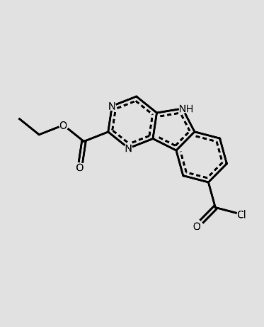 CCOC(=O)c1ncc2[nH]c3ccc(C(=O)Cl)cc3c2n1